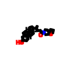 CC(CCC(=O)N1CCC2(CCCO2)CC1)[C@H]1CC[C@H]2[C@@H]3CC=C4C[C@@H](O)CC[C@]4(C)[C@H]3CC[C@]12C